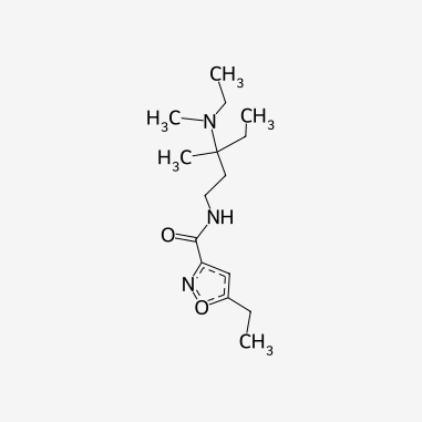 CCc1cc(C(=O)NCCC(C)(CC)N(C)CC)no1